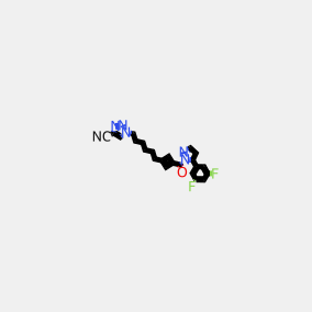 N#Cc1cn(CCCCCCC23CC(C(=O)N4N=CCC4c4cc(F)cc(F)c4)(C2)C3)nn1